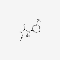 Cc1cccc([C@H]2NC(=O)NC2=O)c1